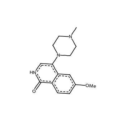 COc1ccc2c(=O)[nH]cc(N3CCN(C)CC3)c2c1